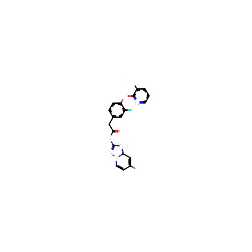 Cc1cccnc1Oc1ccc(CC(=O)NC2=NN3C=CC(Br)=CC3N2)cc1F